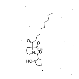 CCCCCCCCCC(=O)C1(C(=O)O)CCCN1C(=O)C1CCCN1O